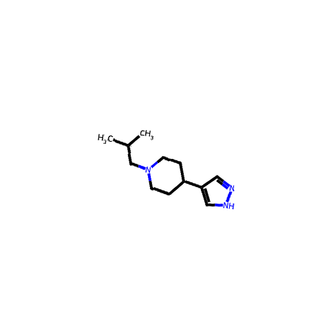 C[C](C)CN1CCC(c2cn[nH]c2)CC1